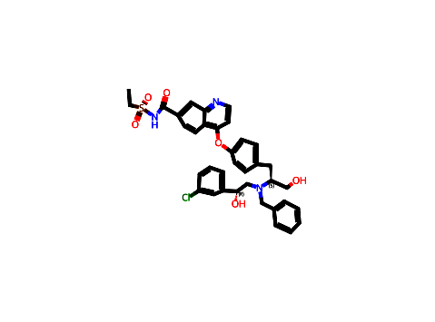 CCS(=O)(=O)NC(=O)c1ccc2c(Oc3ccc(C[C@@H](CO)N(Cc4ccccc4)C[C@H](O)c4cccc(Cl)c4)cc3)ccnc2c1